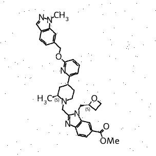 COC(=O)c1ccc2nc(CN3CCC(c4cccc(OCc5ccc6cnn(C)c6c5)n4)C[C@@H]3C)n(C[C@@H]3CCO3)c2c1